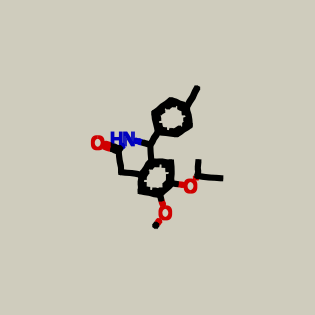 COc1cc2c(cc1OC(C)C)C(c1ccc(C)cc1)NC(=O)C2